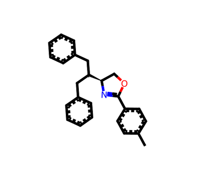 Cc1ccc(C2=N[C@@H]([C](Cc3ccccc3)Cc3ccccc3)CO2)cc1